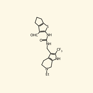 CCN1CCc2c([nH]c(C(F)(F)F)c2CNC(=O)Nc2sc3c(c2C=O)CCC3)C1